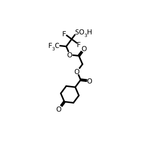 O=C1CCC(C(=O)OCC(=O)OC(C(F)(F)F)C(F)(F)S(=O)(=O)O)CC1